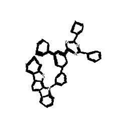 c1ccc(-c2cc(-c3cccc(-n4c5ccccc5c5ccc6c7ccccc7sc6c54)c3)cc(-c3nc(-c4ccccc4)nc(-c4ccccc4)n3)c2)cc1